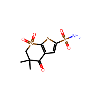 CC1(C)CS(=O)(=O)c2sc(S(N)(=O)=O)cc2C1=O